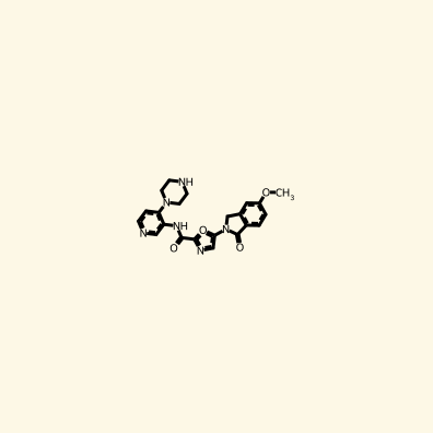 COc1ccc2c(c1)CN(c1cnc(C(=O)Nc3cnccc3N3CCNCC3)o1)C2=O